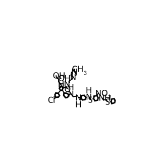 CN1CCN(CCCNC(=O)c2c(-c3cccc(NCCNc4ccc(NSc5ccc(NCCSc6ccccc6)c([N+](=O)[O-])c5)cc4)c3)c(-c3ccc(Cl)cc3)cn2CC[C@H](O)CO)CC1